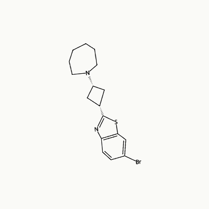 Brc1ccc2nc([C@H]3C[C@@H](N4CCCCCC4)C3)sc2c1